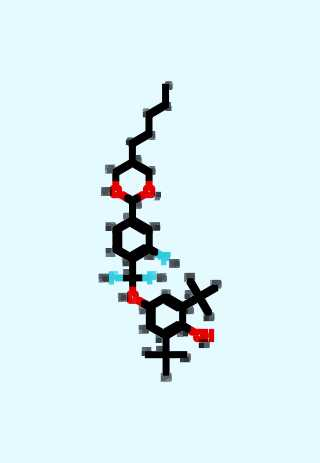 CCCCCC1COC(c2ccc(C(F)(F)Oc3cc(C(C)(C)C)c(O)c(C(C)(C)C)c3)c(F)c2)OC1